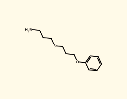 [SiH3]CCCSCCCOc1ccccc1